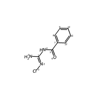 NC(=NCl)NC(=O)c1ccccc1